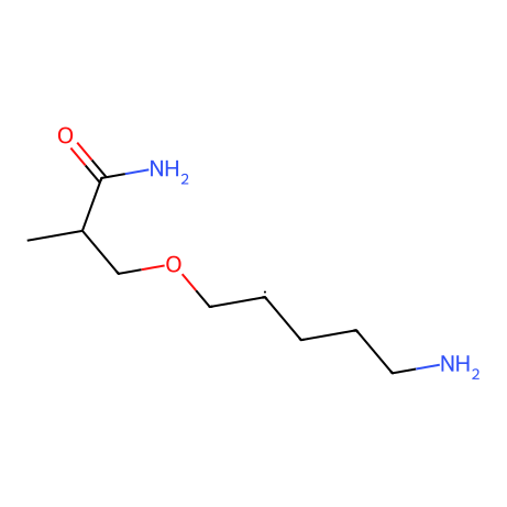 CC(COC[CH]CCCN)C(N)=O